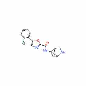 O=C(NC1CC2CC1CN2)c1ncc(-c2ccccc2Cl)o1